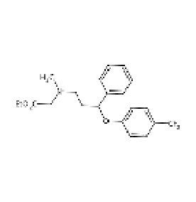 CCOC(=O)CN(C)CCC(Oc1ccc(C(F)(F)F)cc1)c1ccccc1